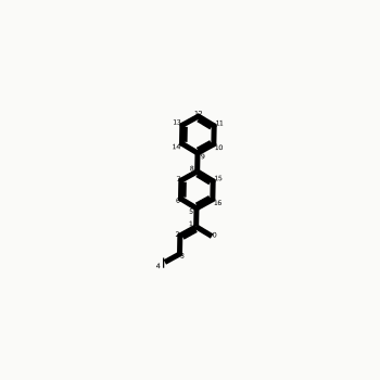 C/C(=C\CI)c1ccc(-c2ccccc2)cc1